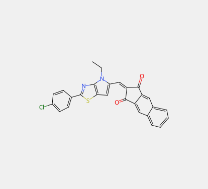 CCn1c(C=C2C(=O)c3cc4ccccc4cc3C2=O)cc2sc(-c3ccc(Cl)cc3)nc21